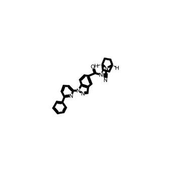 N#CN1[C@H]2CC[C@@H]1[C@H](NC(=O)c1ccc3c(cnn3-c3cccc(-c4ccccc4)n3)c1)C2